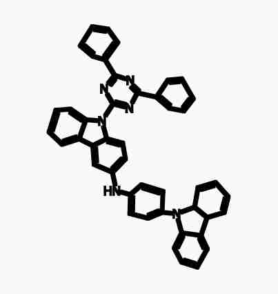 C1=CC2c3ccccc3N(c3ccc(Nc4ccc5c(c4)c4ccccc4n5-c4nc(-c5ccccc5)nc(-c5ccccc5)n4)cc3)C2C=C1